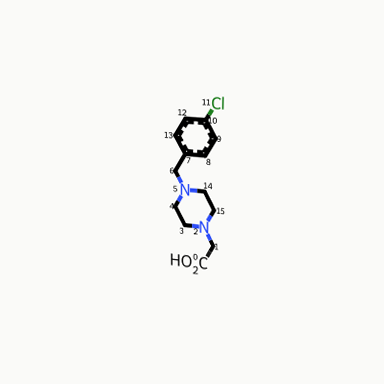 O=C(O)CN1CCN(Cc2ccc(Cl)cc2)CC1